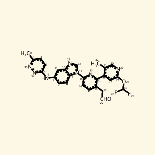 Cc1ccc(Nc2ccc3c(c2)ncn3-c2ccc(CC=O)c(-c3cc(OC(F)F)ncc3C)n2)nn1